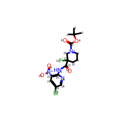 CC(C)(C)OC(=O)N1CCCC(F)(C(=O)Nc2ncc(Br)cc2[N+](=O)[O-])C1